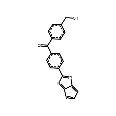 O=C(c1ccc(CO)cc1)c1ccc(C2=NC3=CC=NC3=N2)cc1